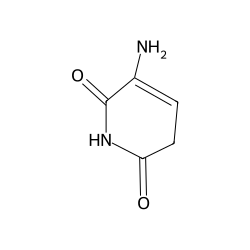 NC1=CCC(=O)NC1=O